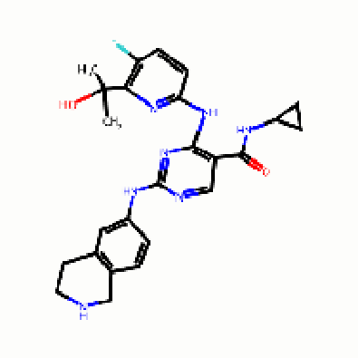 CC(C)(O)c1nc(Nc2nc(Nc3ccc4c(c3)CCNC4)ncc2C(=O)NC2CC2)ccc1F